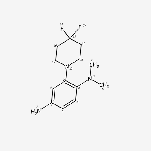 CN(C)c1ccc(N)cc1N1CCC(F)(F)CC1